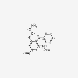 CCCCNc1cc(C=S)cc(SOON)c1Oc1ccccc1